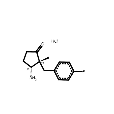 C[C@]1(Cc2ccc(F)cc2)C(=O)CC[C@H]1N.Cl